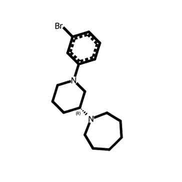 Brc1cccc(N2CCC[C@@H](N3CCCCCC3)C2)c1